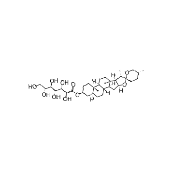 C[C@@H]1CC[C@@]2(OC1)O[C@H]1C[C@H]3[C@@H]4CC[C@H]5C[C@@H](OC(=O)[C@@H](O)[C@@H](O)[C@H](O)[C@H](O)[C@H](O)CO)CC[C@]5(C)[C@H]4CC[C@]3(C)[C@H]1[C@@H]2C